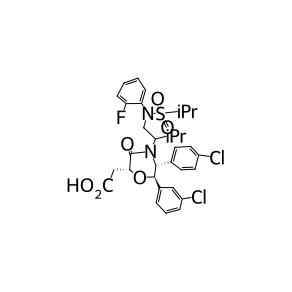 CC(C)C(CN(c1ccccc1F)S(=O)(=O)C(C)C)N1C(=O)[C@@H](CC(=O)O)O[C@H](c2cccc(Cl)c2)[C@H]1c1ccc(Cl)cc1